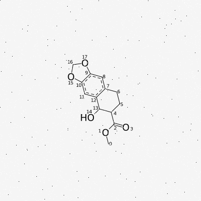 COC(=O)C1CCc2cc3c(cc2C1O)OCO3